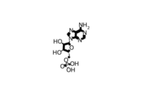 Nc1ncnc2c1ncn2[C@@H]1O[C@H](COP(=O)(O)O)[C@H](O)[C@H]1O